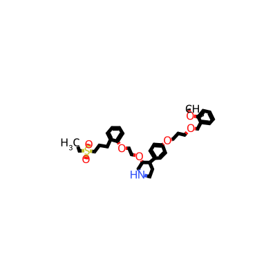 CCS(=O)(=O)CCCc1ccccc1OCCOC1CNCCC1c1ccc(OCCCOCc2ccccc2OC)cc1